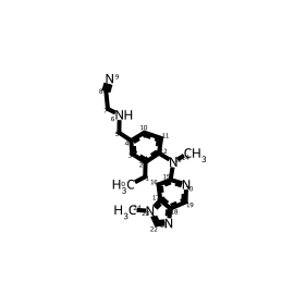 CCc1cc(CNCC#N)ccc1N(C)c1cc2c(cn1)ncn2C